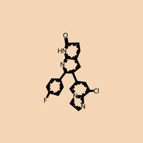 O=c1ccc2cc(-c3cc(Cl)c4nccn4c3)c(-c3ccc(F)cc3)nc2[nH]1